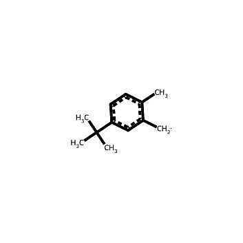 [CH2]c1cc(C(C)(C)C)ccc1C